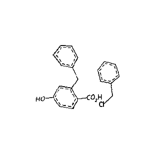 ClCc1ccccc1.O=C(O)c1ccc(O)cc1Cc1ccccc1